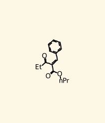 CCCOC(=O)C(=Cc1ccccc1)C(=O)CC